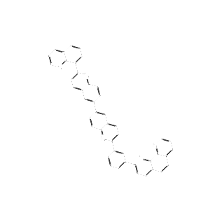 c1cc(-c2ccc3cc(-c4ccc5nc(-c6cccc7cccnc67)ccc5c4)ccc3n2)cc(-c2ccc3ccc4cccnc4c3n2)c1